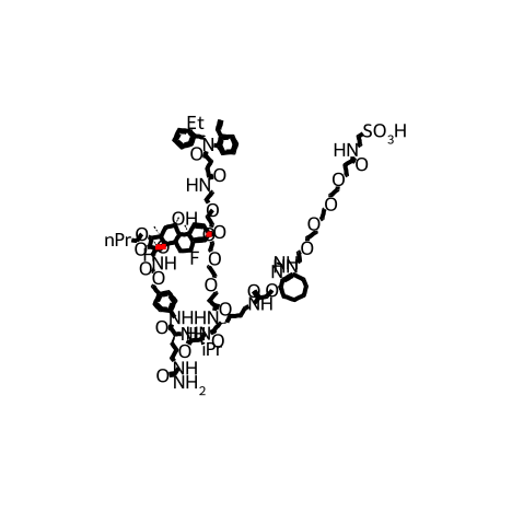 C=Cc1ccccc1N(Cc1ccccc1CC)C(=O)CCC(=O)NCCOCCOCCOCCOCCC(=O)N[C@H](CCCCNC(=O)COC1CCCCC/C(NCCOCCOCCOCCOCCC(=O)NCCS(=O)(=O)O)=C\1N=N)C(=O)N[C@H](C(=O)N[C@@H](CCCNC(N)=O)C(=O)Nc1ccc(COC(=O)NCC(=O)[C@@]23OC(CCC)O[C@@H]2CC2C4C[C@H](F)C5=CC(=O)C=C[C@]5(C)C4[C@@H](O)C[C@@]23C)cc1)C(C)C